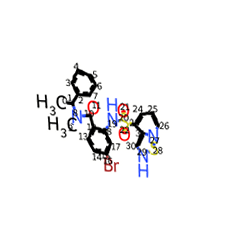 CC(c1ccccc1)N(C)C(=O)c1ccc(Br)cc1NS(=O)(=O)C1=CC=CN2SNC=C12